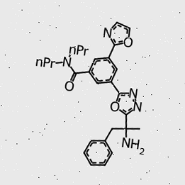 CCCN(CCC)C(=O)c1cc(-c2ncco2)cc(-c2nnc(C(C)(N)Cc3ccccc3)o2)c1